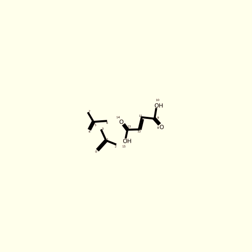 C=C(C)C.C=C(C)C.O=C(O)C=CC(=O)O